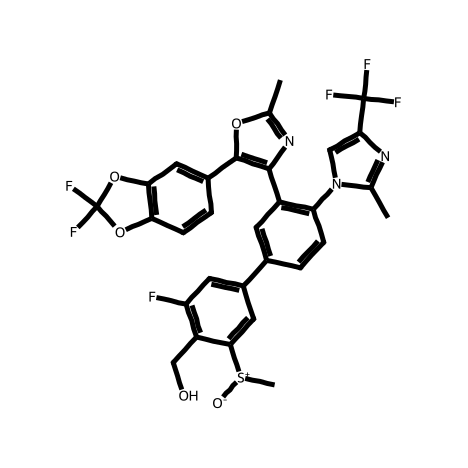 Cc1nc(-c2cc(-c3cc(F)c(CO)c([S+](C)[O-])c3)ccc2-n2cc(C(F)(F)F)nc2C)c(-c2ccc3c(c2)OC(F)(F)O3)o1